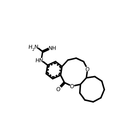 N=C(N)Nc1ccc2c(c1)CCCOC1CCCCCCCC1OC2=O